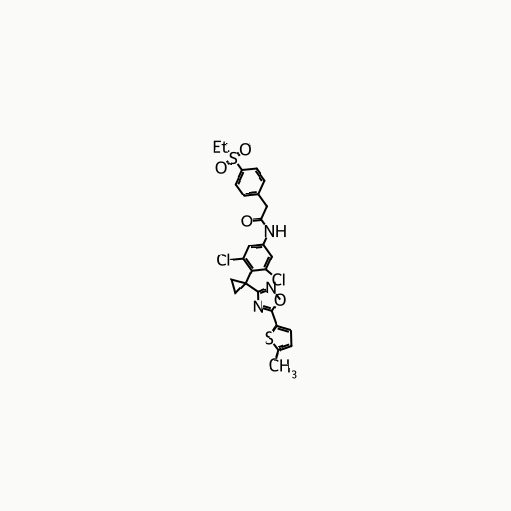 CCS(=O)(=O)c1ccc(CC(=O)Nc2cc(Cl)c(C3(c4noc(-c5ccc(C)s5)n4)CC3)c(Cl)c2)cc1